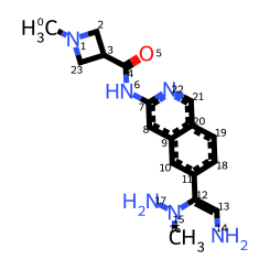 CN1CC(C(=O)Nc2cc3cc(/C(=C/N)N(C)N)ccc3cn2)C1